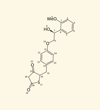 COc1ccccc1[C@H](O)COc1ccc(CC2SC(=O)CC2=O)cc1